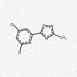 Cc1noc(-c2cc(Cl)cc(Cl)n2)n1